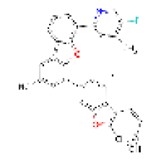 C#C/C=C\c1c(C)oc2cc(-c3cc(C#N)cc4c3oc3c(-c5cc(C)c(F)cn5)cccc34)ccc12